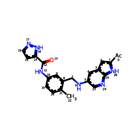 CC(=O)c1cc2cc(NCc3cc(NC(=O)c4ccn[nH]4)ccc3C)cnc2[nH]1